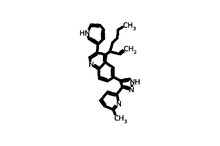 C=CC(CCCC)c1c(C2=CNC=CC=C2)cnc2ccc(-c3c[nH]nc3-c3cccc(C)n3)cc12